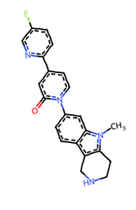 Cn1c2c(c3ccc(-n4ccc(-c5ccc(F)cn5)cc4=O)cc31)CNCC2